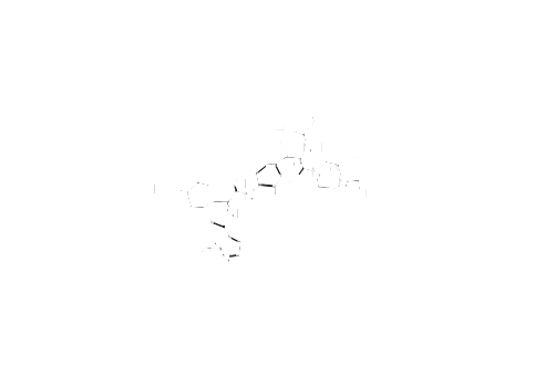 CCC(O)N[C@@H](C(=O)N1CCN(CC)[C@H](C)C1)[C@@H](C)c1ccc(NC(=O)[C@@H](NC(=O)c2ccnn2CC)[C@H]2CC[C@H](C)CC2)c(F)c1